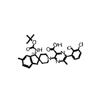 Cc1ccc2c(c1)[C@@H](NC(=O)OC(C)(C)C)C1(CCN(c3nc(C)c(-c4cccc(Cl)c4Cl)nc3C(=O)O)CC1)C2